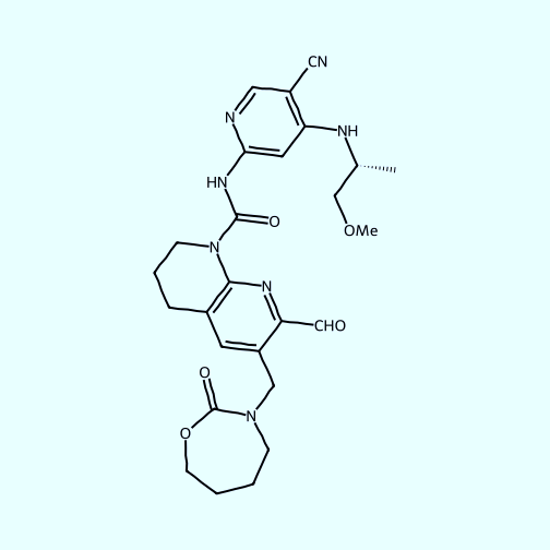 COC[C@@H](C)Nc1cc(NC(=O)N2CCCc3cc(CN4CCCCOC4=O)c(C=O)nc32)ncc1C#N